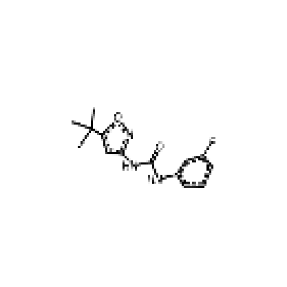 CC(C)(C)c1cc(NC(=O)Nc2cccc(F)c2)no1